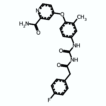 Cc1cc(NC(=O)NC(=O)Cc2ccc(F)cc2)ccc1Oc1ccnc(C(N)=O)c1